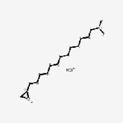 CN(C)CCCCCCCCCCCCCC1CO1.Cl